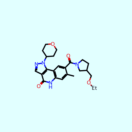 CCOCC1CCN(C(=O)c2cc3c(cc2C)[nH]c(=O)c2cnn(C4CCOCC4)c23)C1